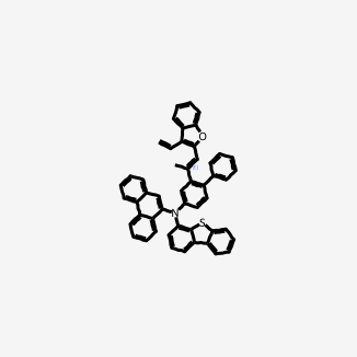 C=Cc1c(/C=C(\C)c2cc(N(c3cc4ccccc4c4ccccc34)c3cccc4c3sc3ccccc34)ccc2-c2ccccc2)oc2ccccc12